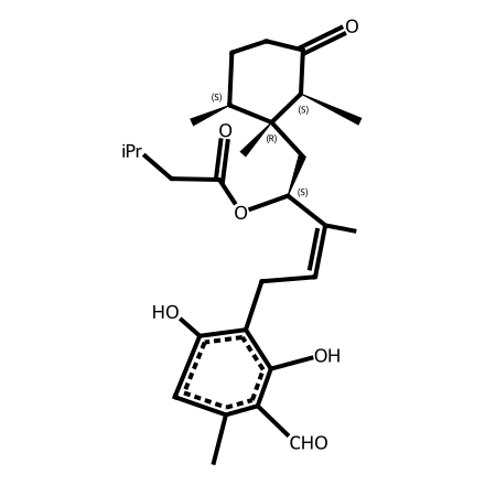 CC(=CCc1c(O)cc(C)c(C=O)c1O)[C@H](C[C@@]1(C)[C@H](C)C(=O)CC[C@@H]1C)OC(=O)CC(C)C